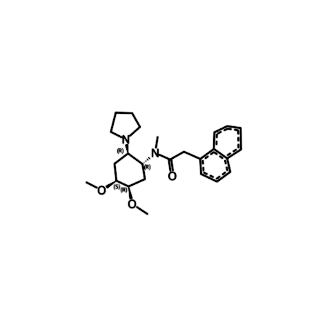 CO[C@H]1C[C@@H](N2CCCC2)[C@H](N(C)C(=O)Cc2cccc3ccccc23)C[C@H]1OC